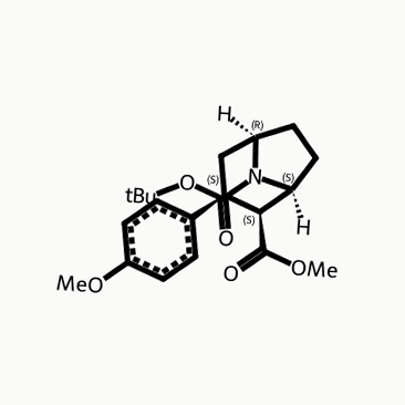 COC(=O)[C@H]1[C@@H](c2ccc(OC)cc2)C[C@H]2CC[C@@H]1N2C(=O)OC(C)(C)C